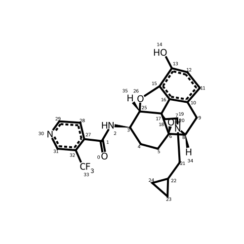 O=C(N[C@@H]1CC[C@@]2(O)[C@H]3Cc4ccc(O)c5c4[C@@]2(CCN3CC2CC2)[C@H]1O5)c1ccncc1C(F)(F)F